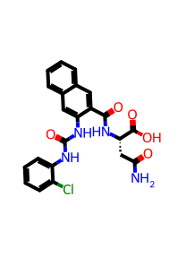 NC(=O)C[C@H](NC(=O)c1cc2ccccc2cc1NC(=O)Nc1ccccc1Cl)C(=O)O